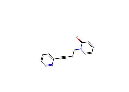 O=c1ccccn1CCC#Cc1ccccn1